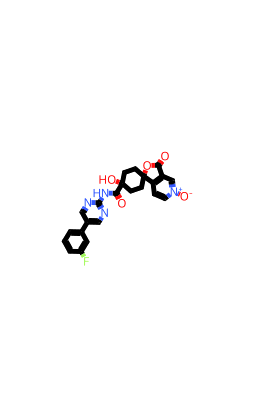 O=C1OC2(CCC(O)(C(=O)Nc3ncc(-c4cccc(F)c4)cn3)CC2)c2cc[n+]([O-])cc21